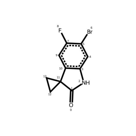 O=C1Nc2cc(Br)c(F)cc2C12CC2